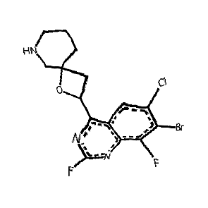 Fc1nc(C2CC3(CCCNC3)O2)c2cc(Cl)c(Br)c(F)c2n1